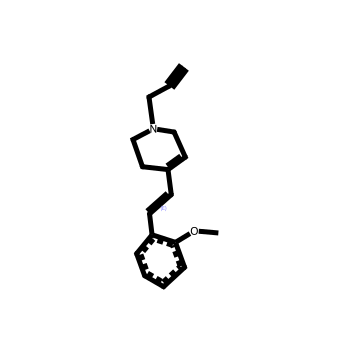 C#CCN1CC=C(/C=C/c2ccccc2OC)CC1